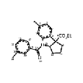 CCOC(=O)C1(c2ccc(C)cc2)CCCC1OC(=O)c1cccc(C)c1